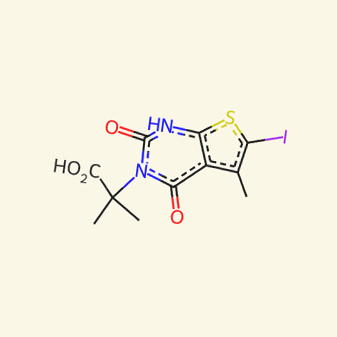 Cc1c(I)sc2[nH]c(=O)n(C(C)(C)C(=O)O)c(=O)c12